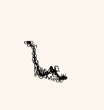 COc1cc(COc2cc3c(c4ccccc24)[C@H](CCl)CN3C(=O)CCCOc2cc3c(cc2OC)C(=O)N2Cc4ccccc4C[C@H]2C=N3)ccc1NC(=O)[C@H](C)NC(=O)[C@@H](NC(=O)CCOCCOCCOCCOCCOCCOCCOCCOCCNC(=O)CCN1C(=O)C=CC1=O)C(C)C